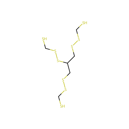 SCSSCC(CSSCS)SSCS